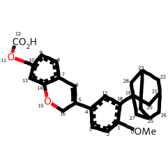 COc1ccc(C2=Cc3ccc(OC(=O)O)cc3OC2)cc1C12CC3CC(CC(C3)C1)C2